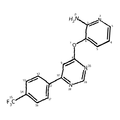 Nc1ncccc1Oc1cc(-c2ccc(C(F)(F)F)cc2)ncn1